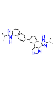 CC(C)c1nc2ccc3cc(-c4ccc5c(c4)c4cncnc4c4nc(C(C)C)[nH]c54)ccc3c2[nH]1